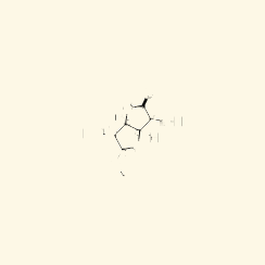 CO[C@@H]1O[C@H]2[C@H](OC(=O)[C@H]2O)[C@H]1O